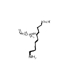 CCCCCCCCCCCCCCCCN.Cl.Cl.Cl.N.N